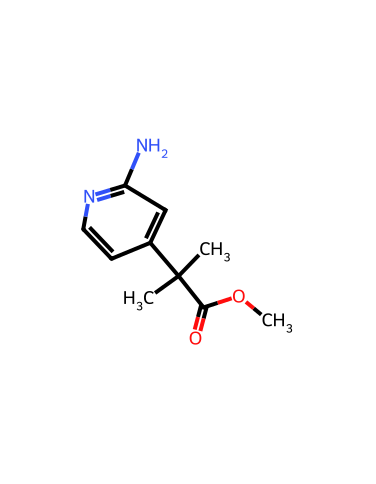 COC(=O)C(C)(C)c1ccnc(N)c1